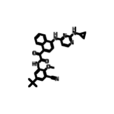 COc1c(C#N)cc(C(C)(C)C)cc1NC(=O)C(=O)c1ccc(Nc2ccnc(NC3CC3)n2)c2ccccc12